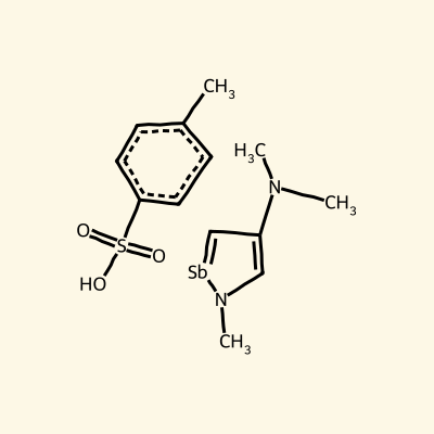 C[N]1C=C(N(C)C)[CH]=[Sb]1.Cc1ccc(S(=O)(=O)O)cc1